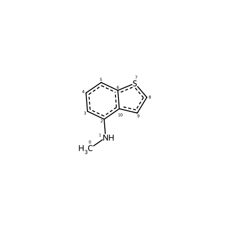 CNc1cccc2sccc12